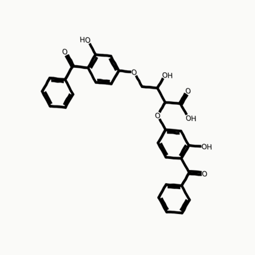 O=C(c1ccccc1)c1ccc(OCC(O)C(Oc2ccc(C(=O)c3ccccc3)c(O)c2)C(=O)O)cc1O